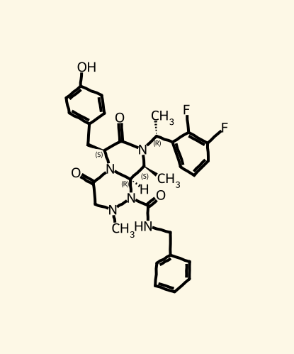 C[C@H](c1cccc(F)c1F)N1C(=O)[C@H](Cc2ccc(O)cc2)N2C(=O)CN(C)N(C(=O)NCc3ccccc3)[C@@H]2[C@@H]1C